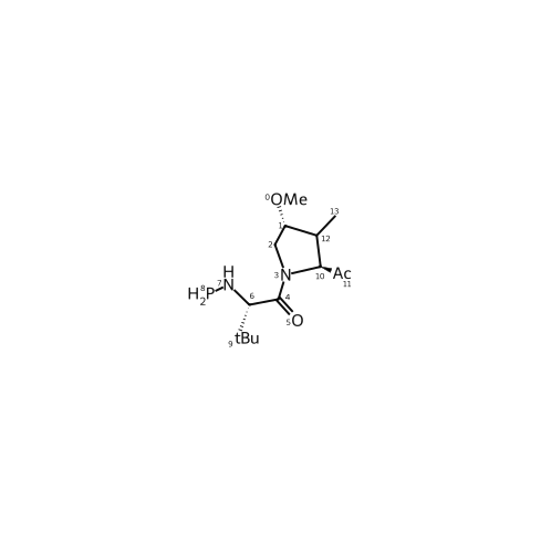 CO[C@H]1CN(C(=O)[C@@H](NP)C(C)(C)C)[C@H](C(C)=O)C1C